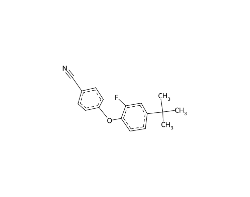 CC(C)(C)c1ccc(Oc2ccc(C#N)cc2)c(F)c1